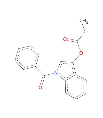 CCC(=O)Oc1cn(C(=O)c2ccccc2)c2ccccc12